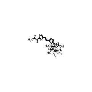 CC(=O)Nc1nc(/C=C/c2ccc(NC(NC(=O)O)(N(C(=O)O)C(C)(C)C)C(C)(C)C)s2)cs1